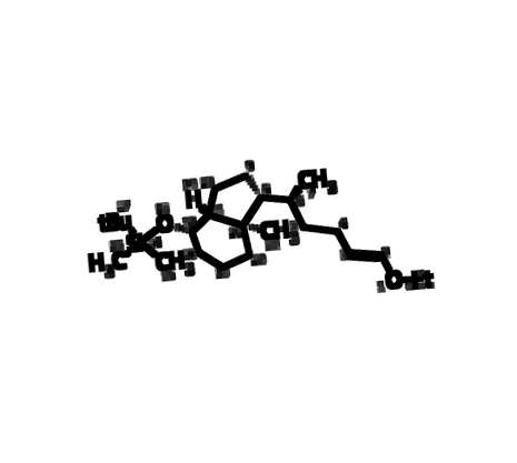 CCOC=CCC[C@H](C)[C@H]1CC[C@H]2[C@@H](O[Si](C)(C)C(C)(C)C)CCC[C@]12C